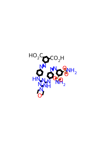 NS(=O)(=O)c1cc(N=Nc2ccc(Nc3nc(Nc4ccc(N=Nc5cc(C(=O)O)cc(C(=O)O)c5)cc4)nc(N4CCOCC4)n3)cc2)cc(S(N)(=O)=O)c1